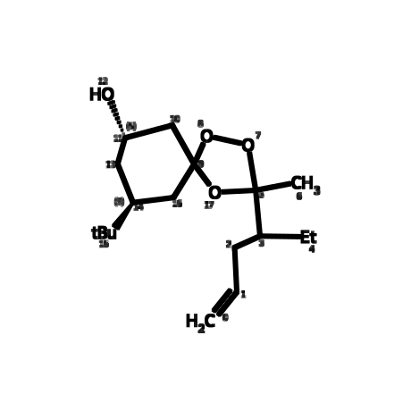 C=CCC(CC)C1(C)OOC2(C[C@@H](O)C[C@H](C(C)(C)C)C2)O1